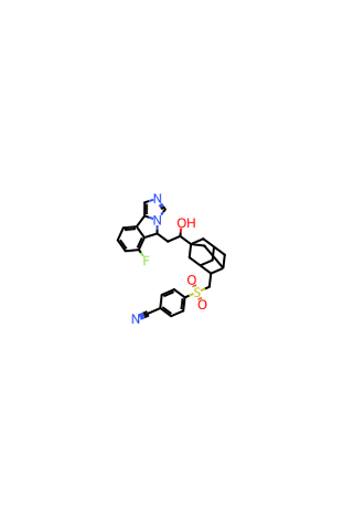 N#Cc1ccc(S(=O)(=O)CC2C3CC4CC2CC(C(O)CC2c5c(F)cccc5-c5cncn52)(C4)C3)cc1